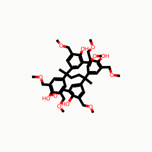 COCc1cc(C(C)(CCC(C)(c2cc(COC)c(O)c(COC)c2)c2cc(COC)c(O)c(COC)c2)c2cc(COC)c(O)c(COC)c2)cc(COC)c1O